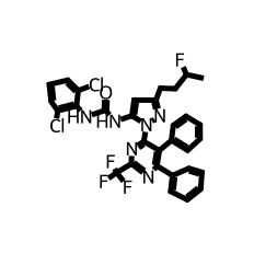 CC(F)CCc1cc(NC(=O)Nc2c(Cl)cccc2Cl)n(-c2nc(C(F)(F)F)nc(-c3ccccc3)c2-c2ccccc2)n1